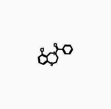 O=C(c1ccccc1)N1CCSc2cccc(Cl)c2C1